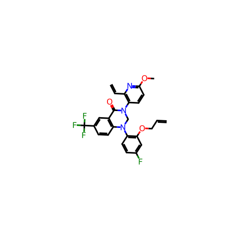 C=CCOc1cc(F)ccc1N1CN(c2ccc(OC)nc2C=C)C(=O)c2cc(C(F)(F)F)ccc21